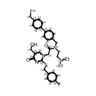 CCN(CC)CCN(Cc1ccc(-c2ccc(CF)cc2)cc1)C(=O)Cn1cc(CO)c(=O)nc1SCc1ccc(F)cc1